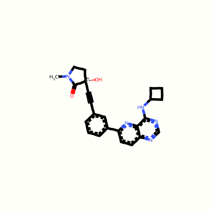 CN1CC[C@@](O)(C#Cc2cccc(-c3ccc4ncnc(NC5CCC5)c4n3)c2)C1=O